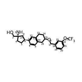 N[C@]1(CO)CC[C@H](c2ccc3c(c2)CCC(OCc2cccc(OC(F)(F)F)c2)C3)C1